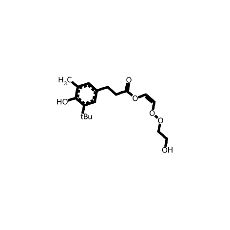 Cc1cc(CCC(=O)O/C=C\OOCCO)cc(C(C)(C)C)c1O